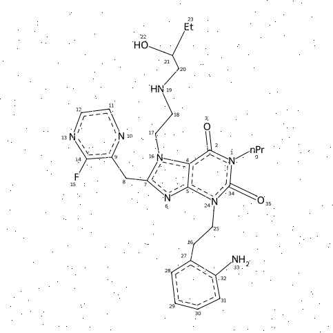 CCCn1c(=O)c2c(nc(Cc3nccnc3F)n2CCNCC(O)CC)n(CCc2ccccc2N)c1=O